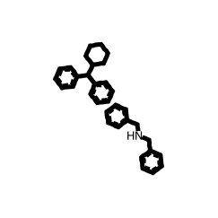 c1ccc(C(c2ccccc2)C2CCCCC2)cc1.c1ccc(CNCc2ccccc2)cc1